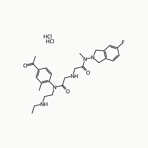 CCNCCN(C(=O)CNCC(=O)N(C)N1Cc2ccc(F)cc2C1)c1ccc(C(C)=O)cc1C.Cl.Cl